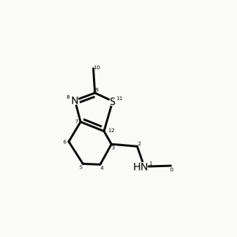 CNCC1CCCc2nc(C)sc21